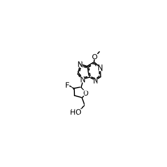 COc1ncnc2c1ncn2C1OC(CO)CC1F